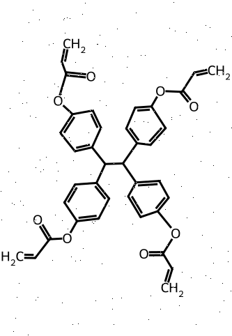 C=CC(=O)Oc1ccc(C(c2ccc(OC(=O)C=C)cc2)C(c2ccc(OC(=O)C=C)cc2)c2ccc(OC(=O)C=C)cc2)cc1